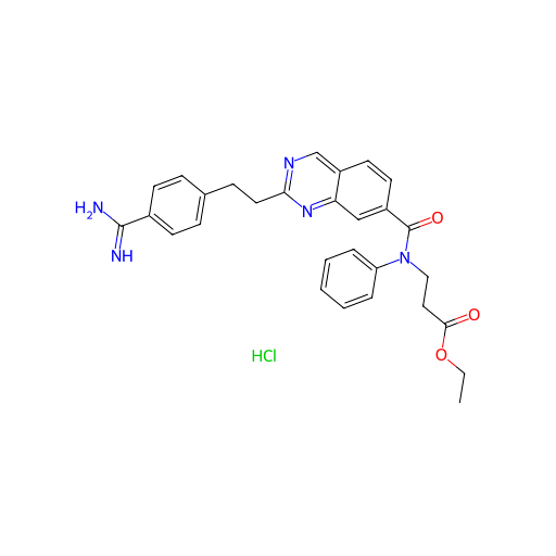 CCOC(=O)CCN(C(=O)c1ccc2cnc(CCc3ccc(C(=N)N)cc3)nc2c1)c1ccccc1.Cl